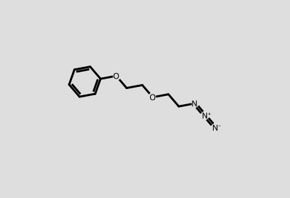 [N-]=[N+]=NCCOCCOc1ccccc1